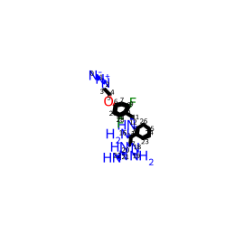 [N-]=[N+]=NCCOc1cc(F)c(CNC2=C(C(N)C(=NN)NN=N)C=CCC2)c(F)c1